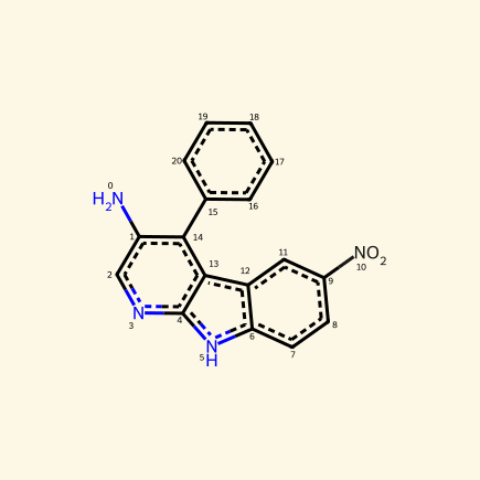 Nc1cnc2[nH]c3ccc([N+](=O)[O-])cc3c2c1-c1ccccc1